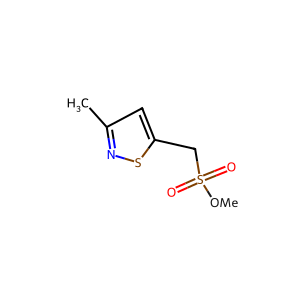 COS(=O)(=O)Cc1cc(C)ns1